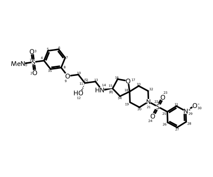 CNS(=O)(=O)c1cccc(OC[C@@H](O)CN[C@H]2COC3(CCN(S(=O)(=O)c4ccc[n+]([O-])c4)CC3)C2)c1